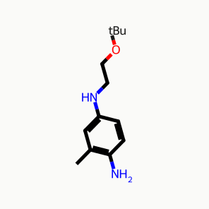 Cc1cc(NCCOC(C)(C)C)ccc1N